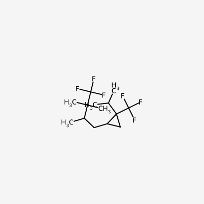 CC(CC1CC1(C(C)C)C(F)(F)F)C(C)(C)C(F)(F)F